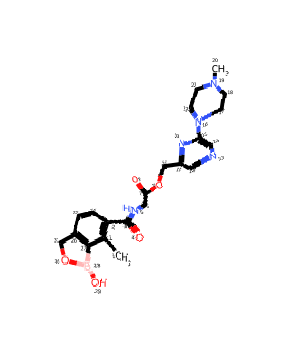 Cc1c(C(=O)NCC(=O)OCc2cncc(N3CCN(C)CC3)n2)ccc2c1B(O)OC2